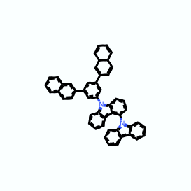 C1=CC2C=CC(c3cc(-c4ccc5ccccc5c4)cc(-n4c5ccccc5c5c(-n6c7ccccc7c7ccccc76)cccc54)c3)=CC2C=C1